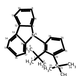 CC(C)(C)c1c(-n2c3ccccc3c3ccccc32)cccc1[Si](C)(C)C